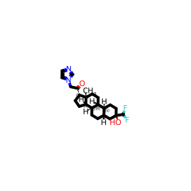 C[C@]12CC[C@H]3[C@@H](CC[C@H]4C[C@@](O)(C(F)F)CC[C@@H]43)[C@@H]1CC[C@@H]2C(=O)Cn1ccnc1